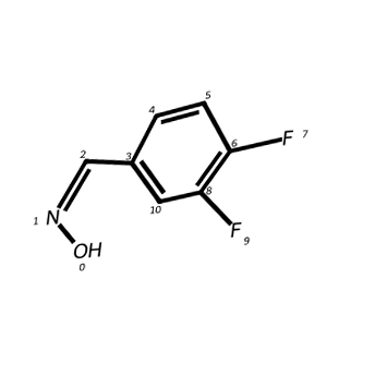 O/N=C\c1ccc(F)c(F)c1